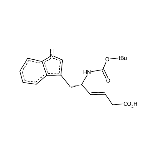 CC(C)(C)OC(=O)N[C@H](/C=C/CC(=O)O)Cc1c[nH]c2ccccc12